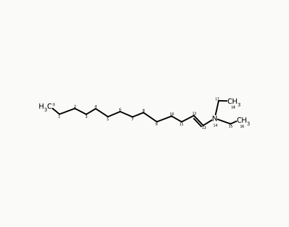 CCCCCCCCCCCC/C=C/N(CC)CC